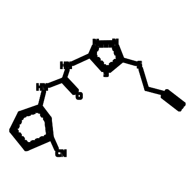 C#CCSc1nnc(NC(=O)Nc2cccc(C#N)c2)s1